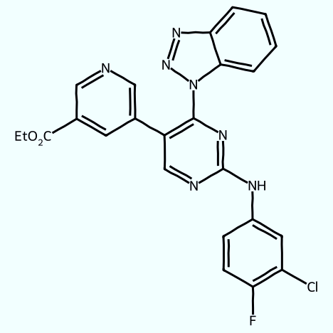 CCOC(=O)c1cncc(-c2cnc(Nc3ccc(F)c(Cl)c3)nc2-n2nnc3ccccc32)c1